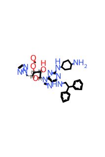 NC1CCC(Nc2nc(NCC(c3ccccc3)c3ccccc3)c3ncn([C@@H]4O[C@H](Cn5nccn5)[C@@H](OC=O)[C@H]4O)c3n2)CC1